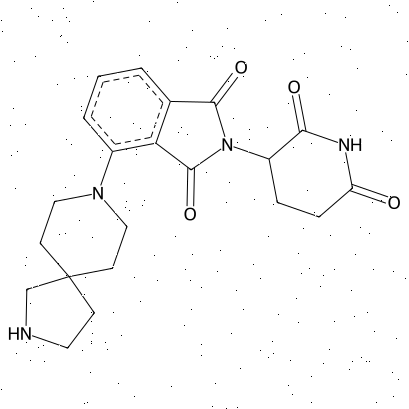 O=C1CCC(N2C(=O)c3cccc(N4CCC5(CCNC5)CC4)c3C2=O)C(=O)N1